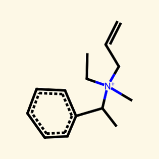 C=CC[N+](C)(CC)C(C)c1ccccc1